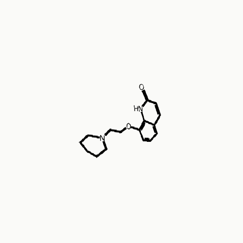 O=c1ccc2cccc(OCCN3CCCCC3)c2[nH]1